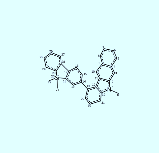 Cn1c2cc3ccccc3cc2c2c(-c3ccc4c(c3)[Si](C)(C)c3ccccc3-4)cccc21